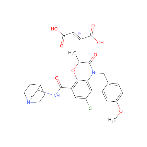 COc1ccc(CN2C(=O)C(C)Oc3c(C(=O)NC4CN5CCC4CC5)cc(Cl)cc32)cc1.O=C(O)/C=C/C(=O)O